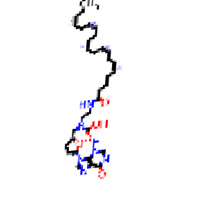 CC/C=C\C/C=C\C/C=C\C/C=C\C/C=C\CCCC(=O)NCCN(C[C@@H]1CC[C@H](n2cnc3c(=O)nc[nH]c32)O1)C(=O)O